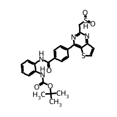 CC(C)(C)OC(=O)Nc1ccccc1NC(=O)c1ccc(-c2nc(C[SH](=O)=O)nc3ccsc23)cc1